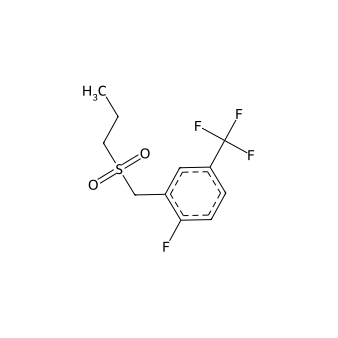 CCCS(=O)(=O)Cc1cc(C(F)(F)F)ccc1F